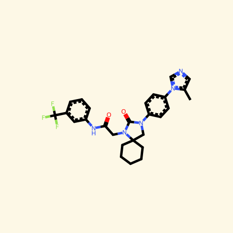 Cc1cncn1-c1ccc(N2CC3(CCCCC3)N(CC(=O)Nc3cccc(C(F)(F)F)c3)C2=O)cc1